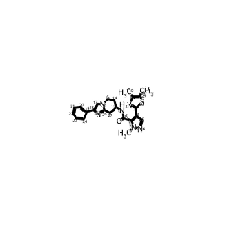 Cc1nc(-c2cnn(C)c2C(=O)NC2CCn3cc(-c4ccccc4)nc3C2)sc1C